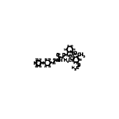 COc1cc(C)c(S(=O)(=O)N2CCCCC2COCC(=O)NCCC2CCN(c3ccncc3)CC2)c(C)c1